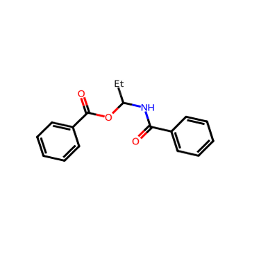 CCC(NC(=O)c1ccccc1)OC(=O)c1ccccc1